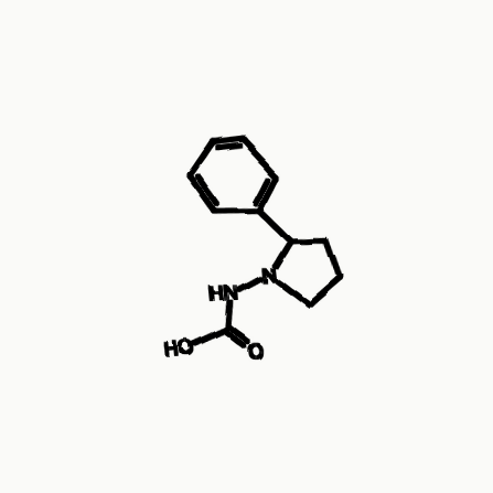 O=C(O)NN1CCCC1c1ccccc1